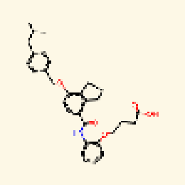 CC(C)Cc1ccc(COc2ccc(C(=O)Nc3ccccc3OCCCC(=O)O)c3c2CCC3)cc1